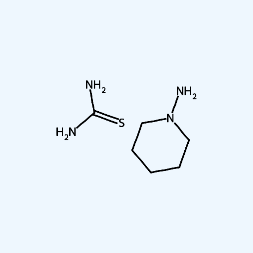 NC(N)=S.NN1CCCCC1